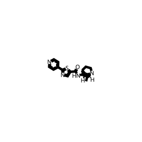 C[C@H]1[C@H](NC(=O)c2cnc(-c3ccncc3)s2)C2CCN1CC2